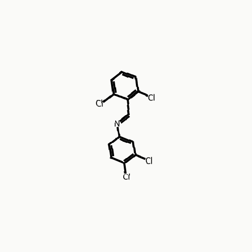 Clc1ccc(N=Cc2c(Cl)cccc2Cl)cc1Cl